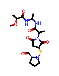 COC(C)C(=O)NC(C)NC(=O)C(C)N1C(=O)CC(SN2CCC[C@H]2C=O)C1=O